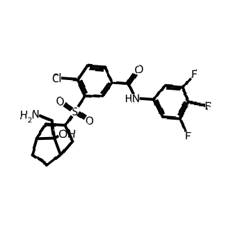 NCC1(O)C2CCC1CC(S(=O)(=O)c1cc(C(=O)Nc3cc(F)c(F)c(F)c3)ccc1Cl)C2